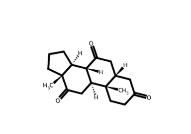 C[C@]12CCC(=O)C[C@H]1CC(=O)[C@@H]1[C@@H]2CC(=O)[C@]2(C)CCC[C@@H]12